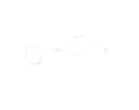 O=C(O)Oc1ccc(C#Cc2ccnc(Cl)c2)cn1